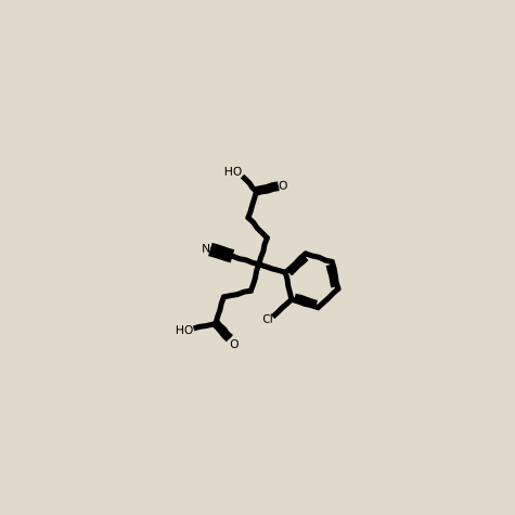 N#CC(CCC(=O)O)(CCC(=O)O)c1ccccc1Cl